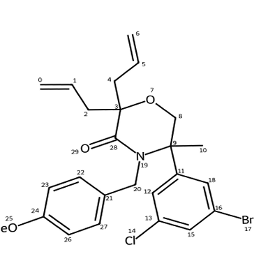 C=CCC1(CC=C)OCC(C)(c2cc(Cl)cc(Br)c2)N(Cc2ccc(OC)cc2)C1=O